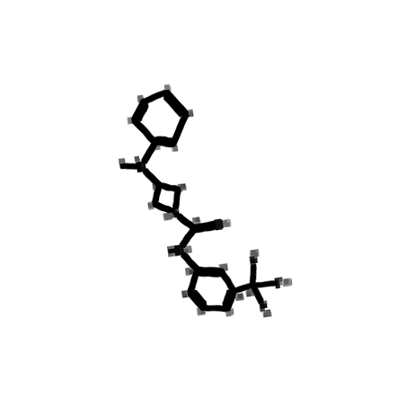 CN(c1ccccc1)C1CN(C(=O)Nc2cccc(C(F)(F)F)c2)C1